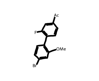 COc1cc(Br)ccc1-c1ccc(C(C)=O)cc1F